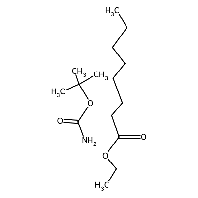 CC(C)(C)OC(N)=O.CCCCCCCC(=O)OCC